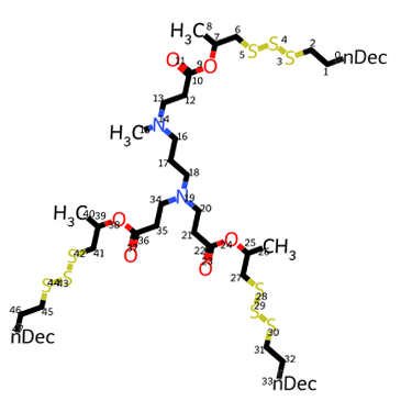 CCCCCCCCCCCCSSSCC(C)OC(=O)CCN(C)CCCN(CCC(=O)OC(C)CSSSCCCCCCCCCCCC)CCC(=O)OC(C)CSSSCCCCCCCCCCCC